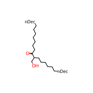 CCCCCCCCCCCCCCCCCC(=O)C(CO)CCCCCCCCCCCCCCCC